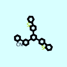 N#Cc1ccccc1-c1cccc(-c2cc(-c3ccc4c(c3)sc3ccccc34)cc(-c3ccc4c(c3)sc3ccccc34)c2)c1